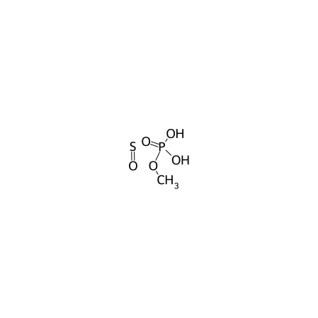 COP(=O)(O)O.O=S